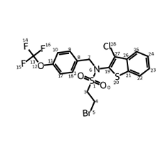 O=S(=O)(CCBr)N(Cc1ccc(OC(F)(F)F)cc1)c1sc2ccccc2c1Cl